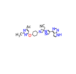 CC(=O)c1cc(O[C@H]2CC[C@@H](N3CC(CC#N)(n4cc(-c5ncnc6[nH]ccc56)cn4)C3)CC2)nc(C)n1